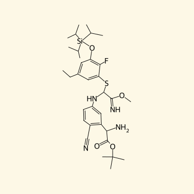 CCc1cc(O[Si](C(C)C)(C(C)C)C(C)C)c(F)c(SC(Nc2ccc(C#N)c(C(N)C(=O)OC(C)(C)C)c2)C(=N)OC)c1